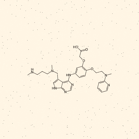 CNCCCN(C)Cc1c[nH]c2ncnc(Nc3ccc(OCCN(C)c4ccccn4)c(OCC(=O)O)c3)c12